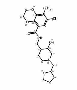 Cc1c(Cl)cc(C(=O)NCC2CCN(CC3CCCO3)CC2O)c2c1OCCO2